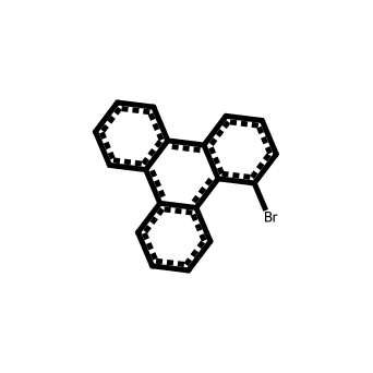 Brc1cccc2c3ccccc3c3ccccc3c12